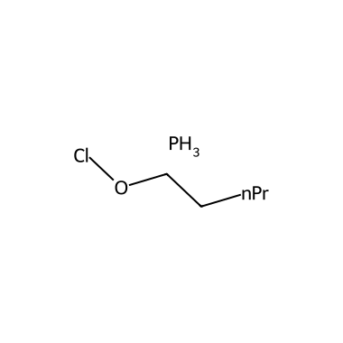 CCCCCOCl.P